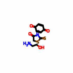 NCCO.O=C1C=CC(=O)C=C1.O=C1CSC(=S)N1